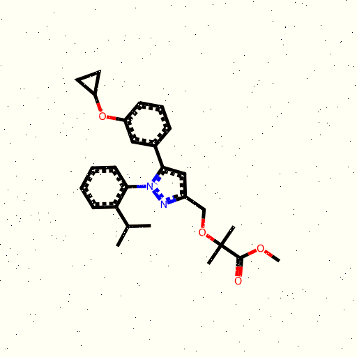 COC(=O)C(C)(C)OCc1cc(-c2cccc(OC3CC3)c2)n(-c2ccccc2C(C)C)n1